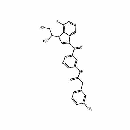 CC(CO)n1cc(C(=O)c2cncc(NC(=O)Cc3cccc(C(F)(F)F)c3)c2)c2cncc(F)c21